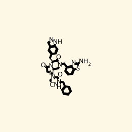 N#CCN(C(=O)NCc1ccccc1)N1CC(=O)N2C1CN(Cc1cccc3sc(N)nc13)C(=O)[C@@H]2Cc1ccc2[nH]ncc2c1